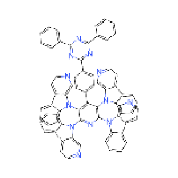 c1ccc(-c2nc(-c3ccccc3)nc(-c3ccc(-c4c(-n5c6ccccc6c6ccncc65)c(-n5c6ccccc6c6ccncc65)nc(-n5c6ccccc6c6ccncc65)c4-n4c5ccccc5c5ccncc54)cc3)n2)cc1